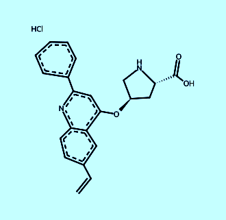 C=Cc1ccc2nc(-c3ccccc3)cc(O[C@H]3CN[C@H](C(=O)O)C3)c2c1.Cl